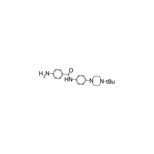 CC(C)(C)N1CCN(c2ccc(NC(=O)c3ccc(N)cc3)cc2)CC1